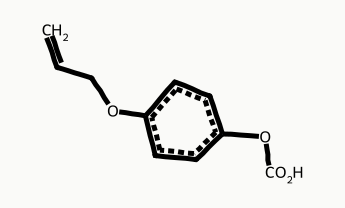 C=CCOc1ccc(OC(=O)O)cc1